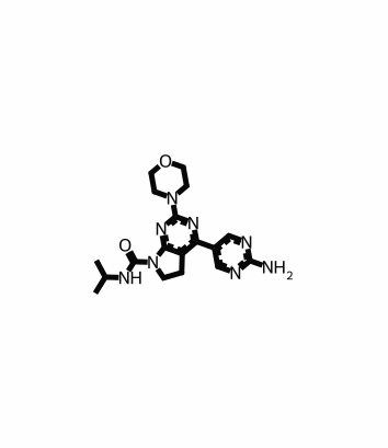 CC(C)NC(=O)N1CCc2c(-c3cnc(N)nc3)nc(N3CCOCC3)nc21